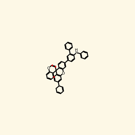 C1=CCC(c2ccc3c(c2)Oc2cc(-c4ccc(Nc5ccccc5)c(-c5ccccc5)c4)ccc2C32c3ccccc3Oc3ccccc32)C=C1